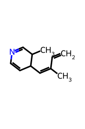 C=C/C(C)=C\C1C=CN=CC1C